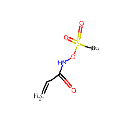 C=CC(=O)NOS(=O)(=O)C(C)CC